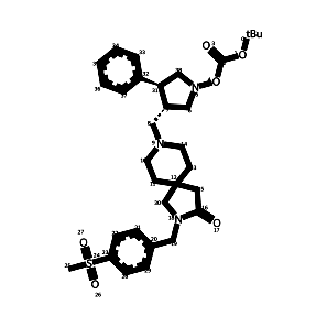 CC(C)(C)OC(=O)ON1C[C@H](CN2CCC3(CC2)CC(=O)N(Cc2ccc(S(C)(=O)=O)cc2)C3)[C@@H](c2ccccc2)C1